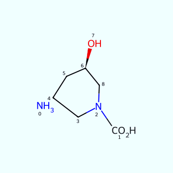 N.O=C(O)N1CCC[C@@H](O)C1